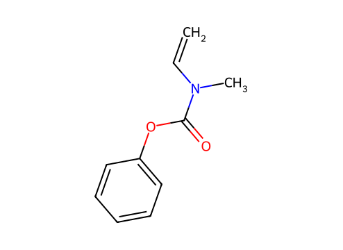 C=CN(C)C(=O)Oc1ccccc1